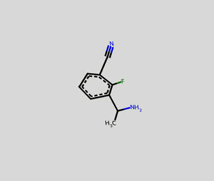 CC(N)c1cccc(C#N)c1F